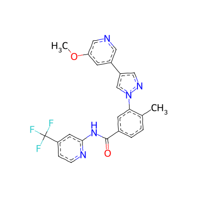 COc1cncc(-c2cnn(-c3cc(C(=O)Nc4cc(C(F)(F)F)ccn4)ccc3C)c2)c1